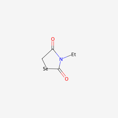 CCN1C(=O)C[Se]C1=O